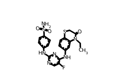 CCN1C(=O)CSc2ccc(Nc3nc(Nc4ccc(S(N)(=O)=O)cc4)ncc3F)cc21